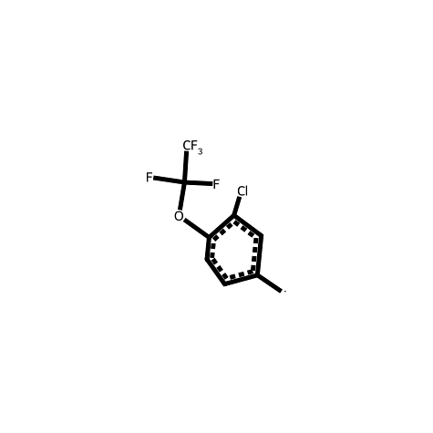 [CH2]c1ccc(OC(F)(F)C(F)(F)F)c(Cl)c1